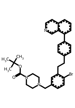 CC(C)(C)OC(=O)N1CCN(Cc2ccc(Br)c(CCc3ccc(-c4cccc5ccncc45)cc3)c2)CC1